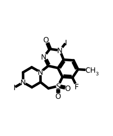 Cc1cc2c3c(nc(=O)n2I)N2CCN(I)CC2CS(=O)(=O)c3c1F